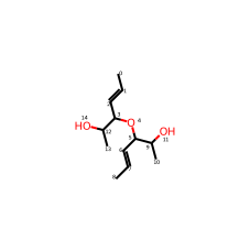 CC=CC(OC(C=CC)C(C)O)C(C)O